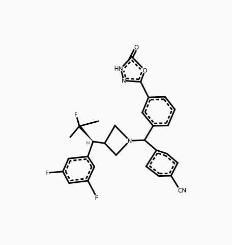 CC(C)(F)[C@H](c1cc(F)cc(F)c1)C1CN(C(c2ccc(C#N)cc2)c2cccc(-c3n[nH]c(=O)o3)c2)C1